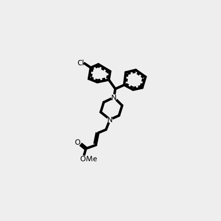 COC(=O)C=CCN1CCN(C(c2ccccc2)c2ccc(Cl)cc2)CC1